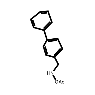 CC(=O)ONCc1ccc(-c2ccccc2)cc1